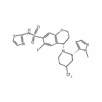 Cn1nccc1[C@@H]1CC(C(F)(F)F)CCN1[C@H]1CCOc2cc(S(=O)(=O)Nc3nccs3)c(F)cc21